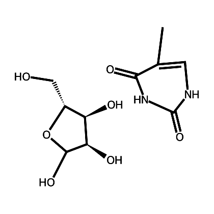 Cc1c[nH]c(=O)[nH]c1=O.OC[C@H]1OC(O)[C@H](O)[C@@H]1O